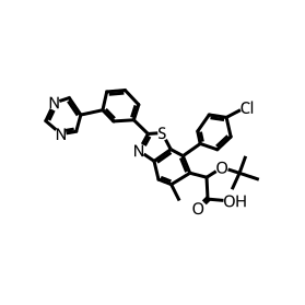 Cc1cc2nc(-c3cccc(-c4cncnc4)c3)sc2c(-c2ccc(Cl)cc2)c1C(OC(C)(C)C)C(=O)O